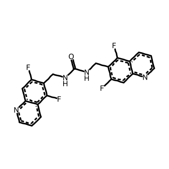 O=C(NCc1c(F)cc2ncccc2c1F)NCc1c(F)cc2ncccc2c1F